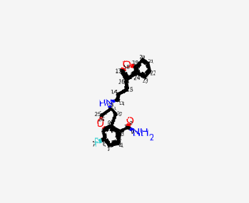 NC(=O)c1ccc(F)c2c1CC(NCCCc1coc3ccccc13)CO2